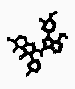 COc1ccc(-c2nn(C(C)c3nc4n(c(=O)c3-c3cccc(F)c3)C(C)C(F)C=C4)c3ncnc(N)c23)cc1F